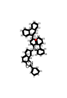 c1ccc(-c2nc3c(ccc4ccc(N(c5ccc(-c6cc7ccccc7c7ccccc67)cc5)c5ccccc5-c5ccccc5)cc43)o2)cc1